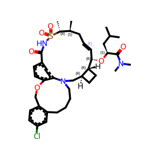 CC(C)C[C@H](O[C@H]1/C=C/C[C@H](C)[C@@H](C)S(=O)(=O)NC(=O)c2ccc3c(c2)N(CCCCc2cc(Cl)ccc2CO3)C[C@@H]2CC[C@H]21)C(=O)N(C)C